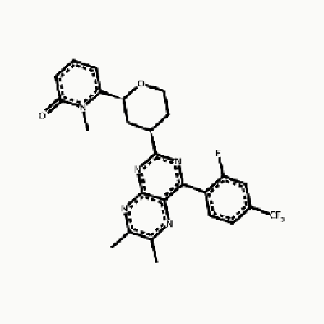 Cc1nc2nc([C@@H]3CCO[C@H](c4cccc(=O)n4C)C3)nc(-c3ccc(C(F)(F)F)cc3F)c2nc1C